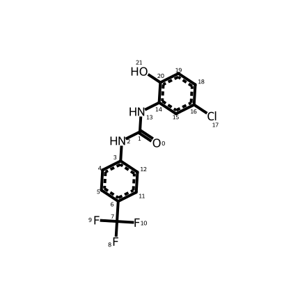 O=C(Nc1ccc(C(F)(F)F)cc1)Nc1cc(Cl)ccc1O